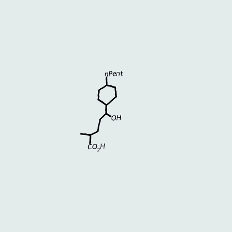 CCCCCC1CCC(C(O)CCC(C)C(=O)O)CC1